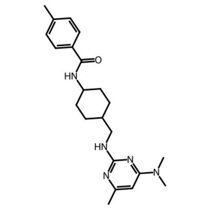 Cc1ccc(C(=O)NC2CCC(CNc3nc(C)cc(N(C)C)n3)CC2)cc1